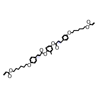 C=CC(=O)OCCCCCCOc1ccc(/C=C/C(=O)Oc2ccc(OC(=O)/C=C/c3ccc(OCCCCCCOC(=O)C=C)cc3)c(C)c2)cc1